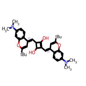 CN(C)c1ccc2c(c1)OC(C(C)(C)C)=C/C2=C\C1=C(O)C(/C=C2\C=C(C(C)(C)C)Oc3cc(N(C)C)ccc32)C1O